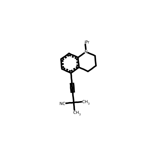 CC(C)N1CCCc2c(C#CC(C)(C)C#N)cccc21